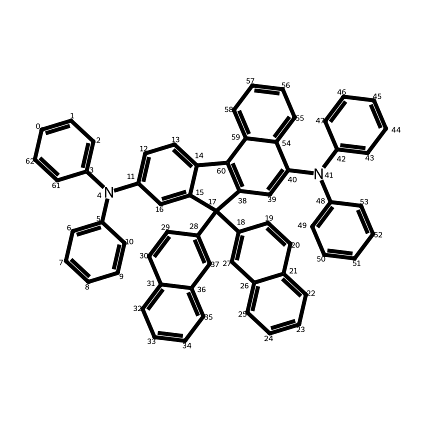 c1ccc(N(c2ccccc2)c2ccc3c(c2)C(c2ccc4ccccc4c2)(c2ccc4ccccc4c2)c2cc(N(c4ccccc4)c4ccccc4)c4ccccc4c2-3)cc1